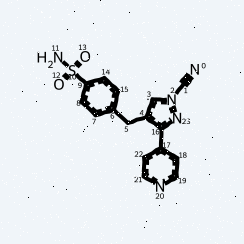 N#Cn1[c]c(Cc2ccc(S(N)(=O)=O)cc2)c(-c2ccncc2)n1